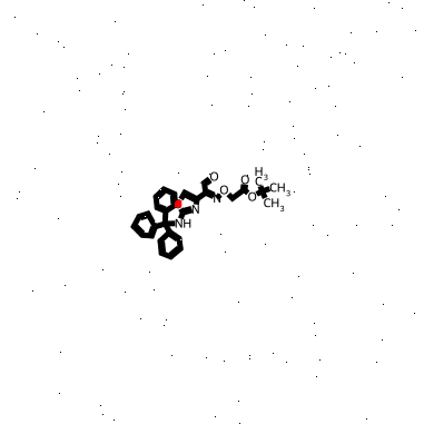 CC(C)(C)OC(=O)CON=C([C]=O)c1csc(NC(c2ccccc2)(c2ccccc2)c2ccccc2)n1